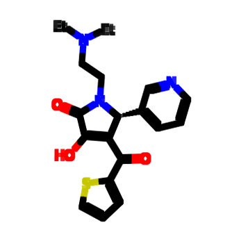 CCN(CC)CCN1C(=O)C(O)=C(C(=O)c2cccs2)[C@H]1c1cccnc1